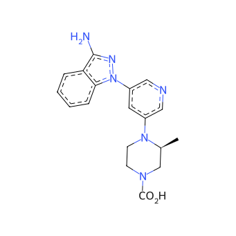 C[C@H]1CN(C(=O)O)CCN1c1cncc(-n2nc(N)c3ccccc32)c1